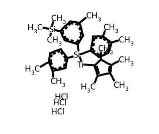 CC1=C(C)C(C)[C]([Ti][Si](c2cc(C)cc([Si](C)(C)C)c2)(c2ccc(C)c(C)c2)c2ccc(C)c(C)c2)=C1C.Cl.Cl.Cl